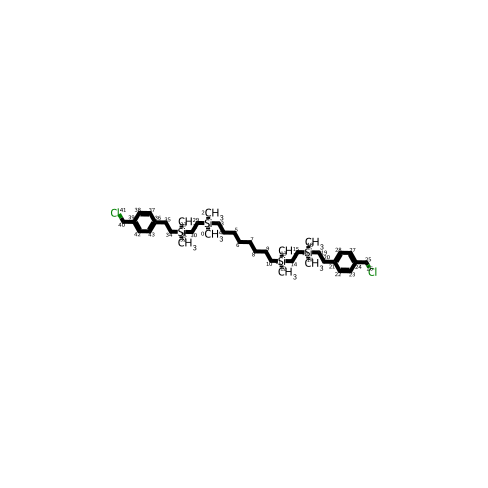 C[Si](C)(CCCCCCCC[Si](C)(C)CC[Si](C)(C)CCc1ccc(CCl)cc1)CC[Si](C)(C)CCc1ccc(CCl)cc1